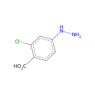 NNc1ccc(C(=O)O)c(Cl)c1